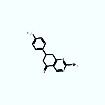 Cc1ccc(C2CC(=O)c3cnc(N)nc3C2)cc1